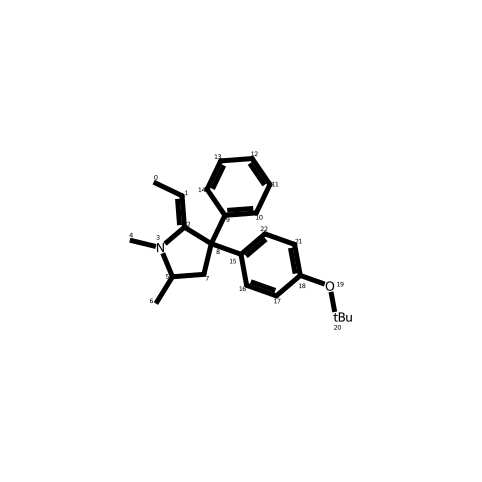 CC=C1N(C)C(C)CC1(c1ccccc1)c1ccc(OC(C)(C)C)cc1